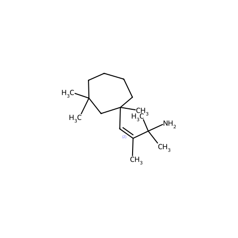 C/C(=C/C1(C)CCCCC(C)(C)C1)C(C)(C)N